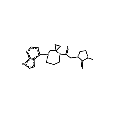 CN1CCN(CC(=O)N2CCCN(c3ncnc4[nH]ccc34)CC23CC3)C1=O